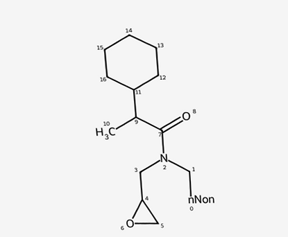 CCCCCCCCCCN(CC1CO1)C(=O)C(C)C1CCCCC1